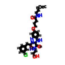 CCCCCCCCCCCCNC(=O)CCCOc1ccc(NC(NC(=O)Cc2cccc(Cl)c2)C(=O)NCCO)cc1